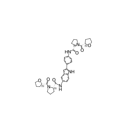 O=C(Nc1ccc(-c2cc3cc(NC(=O)[C@@H]4CCCN4C(=O)[C@@H]4CCCO4)ccc3[nH]2)cc1)[C@@H]1CCCN1C(=O)[C@@H]1CCCO1